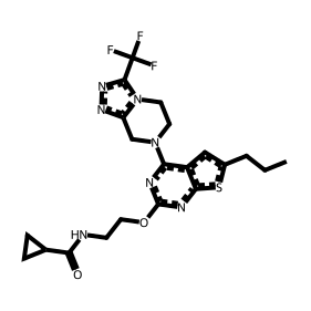 CCCc1cc2c(N3CCn4c(nnc4C(F)(F)F)C3)nc(OCCNC(=O)C3CC3)nc2s1